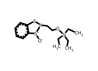 CC[Si](CC)(CC)OCCN1Sc2ccccc2[S+]1[O-]